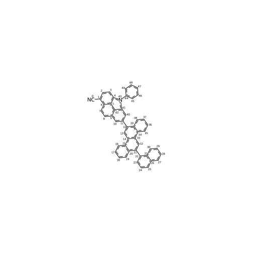 N#Cc1ccc2c3c1ccc1cc(-c4cc5c6ccccc6c(-c6cccc7ccccc67)cc5c5ccccc45)cc(c13)n2-c1ccccc1